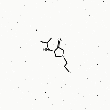 CCCN1CC(=O)[C@H](NC(C)C)C1